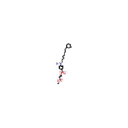 CCOC(=O)C=COC(=O)c1ccc(NCCCCCCCCC2CCCCC2)cc1